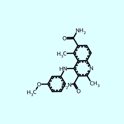 COc1cccc(Nc2c(C(N)=O)c(C)nc3ccc(C(N)=O)c(C)c23)c1